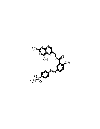 Nc1nc(O)c2nc(COC(=O)c3cc(N=Nc4ccc(S(N)(=O)=O)cc4)ccc3O)cnc2n1